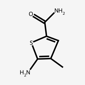 Cc1cc(C(N)=O)sc1N